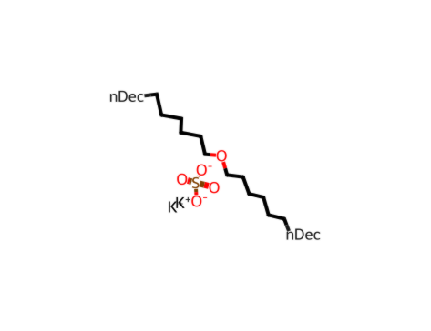 CCCCCCCCCCCCCCCCOCCCCCCCCCCCCCCCC.O=S(=O)([O-])[O-].[K+].[K+]